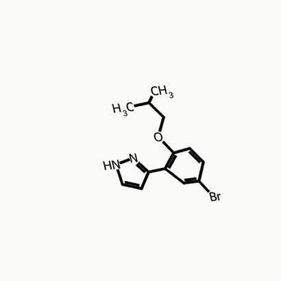 CC(C)COc1ccc(Br)cc1-c1cc[nH]n1